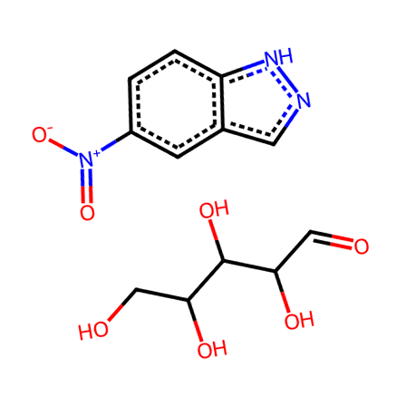 O=CC(O)C(O)C(O)CO.O=[N+]([O-])c1ccc2[nH]ncc2c1